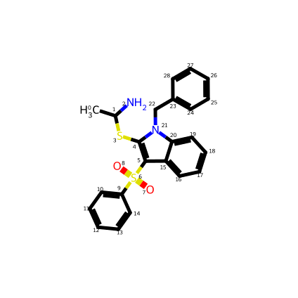 CC(N)Sc1c(S(=O)(=O)c2ccccc2)c2ccccc2n1Cc1ccccc1